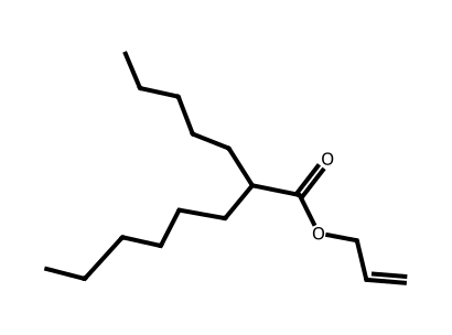 C=CCOC(=O)C(CCCCC)CCCCCC